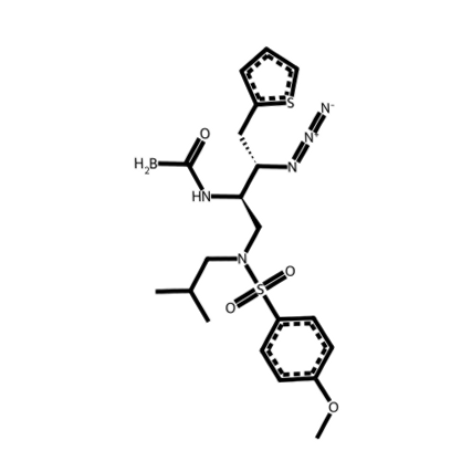 BC(=O)N[C@H](CN(CC(C)C)S(=O)(=O)c1ccc(OC)cc1)[C@H](Cc1cccs1)N=[N+]=[N-]